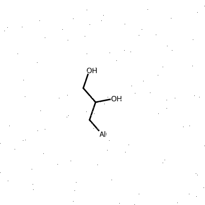 OCC(O)[CH2][Al]